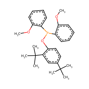 COc1ccccc1P(Oc1ccc(C(C)(C)C)cc1C(C)(C)C)c1ccccc1OC